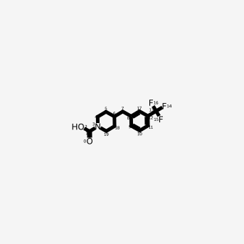 O=C(O)N1CCC(Cc2cccc(C(F)(F)F)c2)CC1